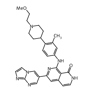 COCCN1CCC(c2ccc(Nc3nc(-c4cnc5nccn5c4)cc4cc[nH]c(=O)c34)cc2C)CC1